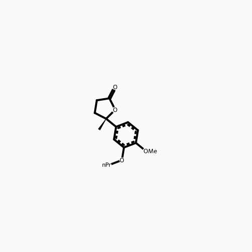 CCCOc1cc([C@]2(C)CCC(=O)O2)ccc1OC